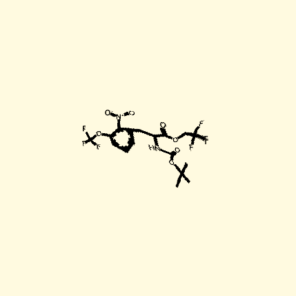 CC(C)(C)OC(=O)NC(Cc1cccc(OC(F)(F)F)c1[N+](=O)[O-])C(=O)OCC(F)(F)F